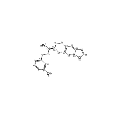 CCCN(CCc1cccc(O)c1)[C@H]1CCc2cc3ccoc3cc2C1